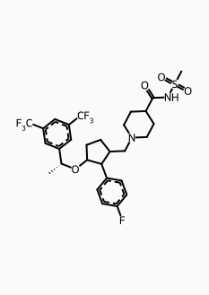 C[C@@H](OC1CCC(CN2CCC(C(=O)NS(C)(=O)=O)CC2)C1c1ccc(F)cc1)c1cc(C(F)(F)F)cc(C(F)(F)F)c1